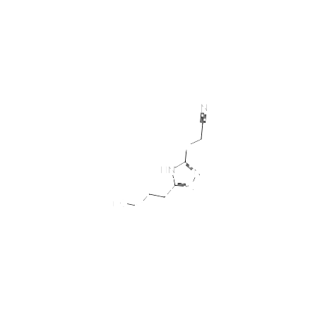 CSCCc1nnc(SCC#N)[nH]1